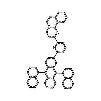 c1cc(-c2ccc3c(-c4cccc5ccccc45)c4ccccc4c(-c4cccc5ccccc45)c3c2)nc(-c2ccc3ccc4ccccc4c3n2)c1